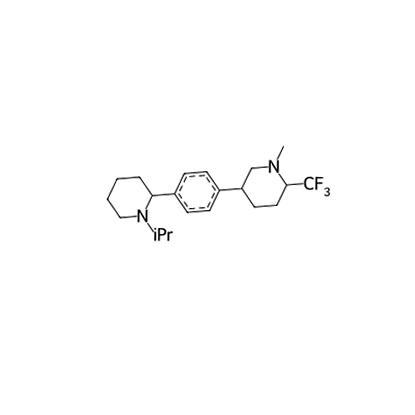 CC(C)N1CCCCC1c1ccc(C2CCC(C(F)(F)F)N(C)C2)cc1